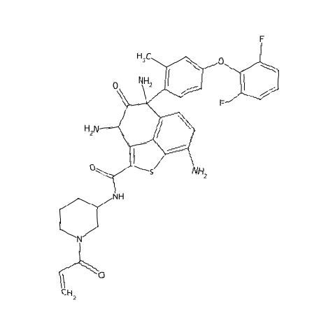 C=CC(=O)N1CCCC(NC(=O)c2sc3c(N)ccc4c3c2C(N)C(=O)C4(N)c2ccc(Oc3c(F)cccc3F)cc2C)C1